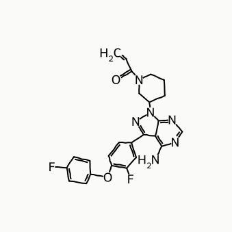 C=CC(=O)N1CCCC(n2nc(-c3ccc(Oc4ccc(F)cc4)c(F)c3)c3c(N)ncnc32)C1